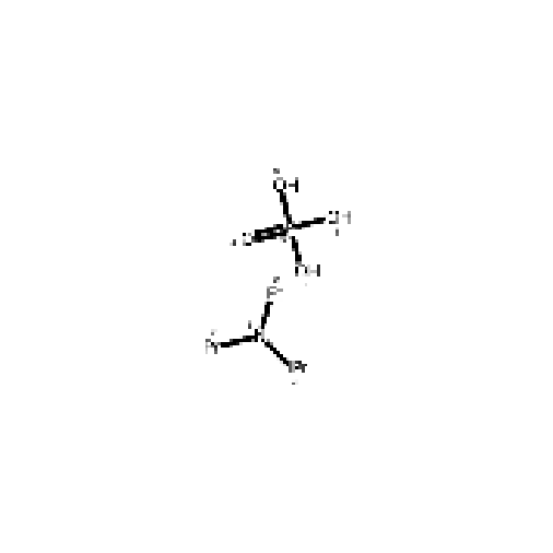 CCN(C(C)C)C(C)C.O=P(O)(O)O